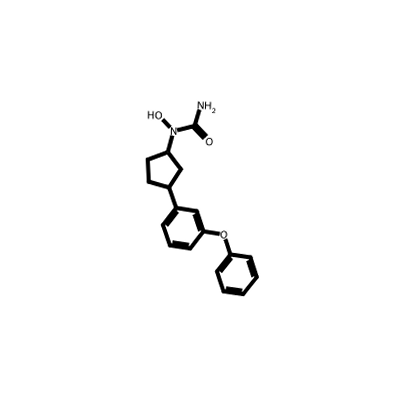 NC(=O)N(O)C1CCC(c2cccc(Oc3ccccc3)c2)C1